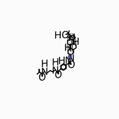 C=C(C)C(=O)NCCCNC(=O)c1ccc(C(=O)N/N=C2/C=C3CC[C@H]4[C@@H]5CC[C@H](C(C)O)[C@@]5(C)CC[C@@H]4[C@@]3(C)CC2)cc1